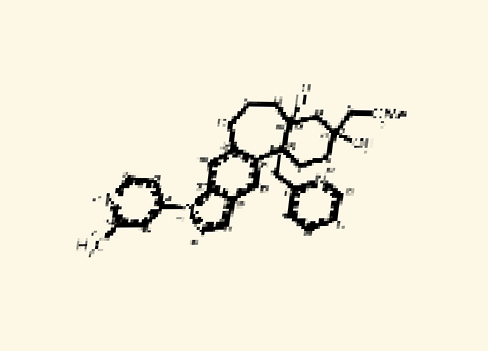 COC[C@]1(O)CC[C@]2(Cc3ccccn3)c3cc4cnn(-c5ccnc(C)c5)c4cc3CCC[C@@H]2C1